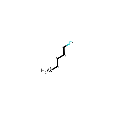 FCCCC[AsH2]